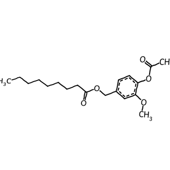 CCCCCCCCC(=O)OCc1ccc(OC(C)=O)c(OC)c1